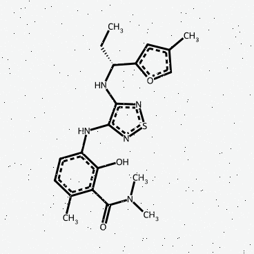 CC[C@@H](Nc1nsnc1Nc1ccc(C)c(C(=O)N(C)C)c1O)c1cc(C)co1